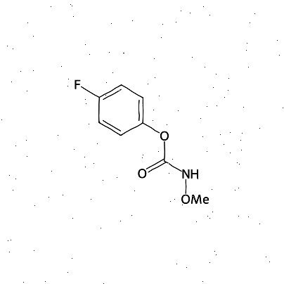 CONC(=O)Oc1ccc(F)cc1